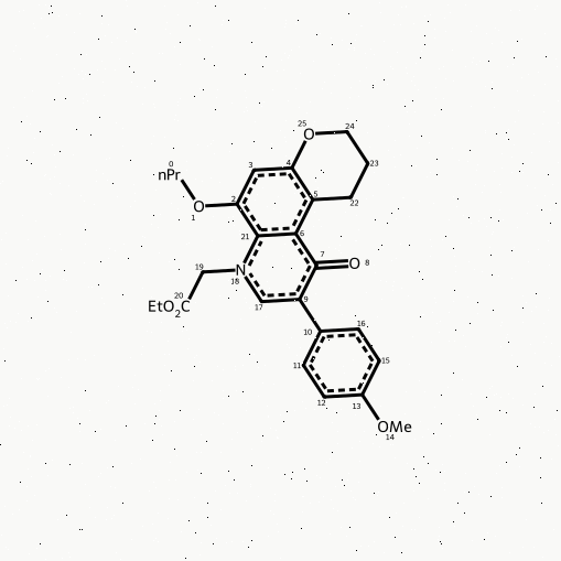 CCCOc1cc2c(c3c(=O)c(-c4ccc(OC)cc4)cn(CC(=O)OCC)c13)CCCO2